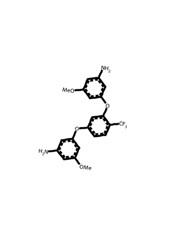 COc1cc(N)cc(Oc2ccc(C(F)(F)F)c(Oc3cc(N)cc(OC)c3)c2)c1